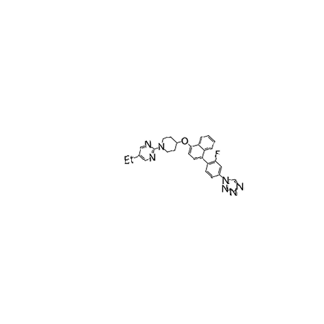 CCc1cnc(N2CCC(Oc3ccc(-c4ccc(-n5cnnn5)cc4F)c4ccccc34)CC2)nc1